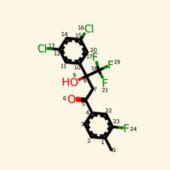 Cc1ccc(C(=O)CC(O)(c2cc(Cl)cc(Cl)c2)C(F)(F)F)cc1F